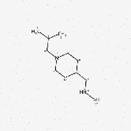 CC(C)CN1CCC(CNS)CC1